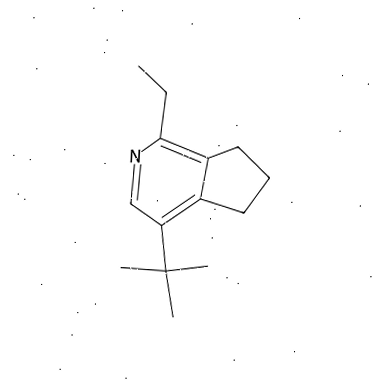 CCc1ncc(C(C)(C)C)c2c1CCC2